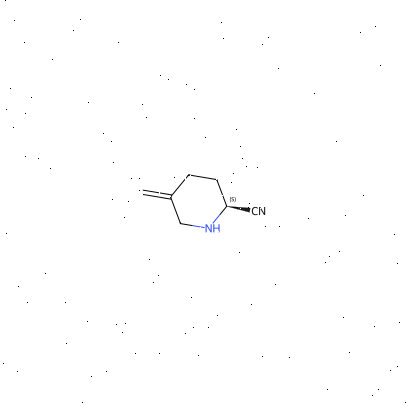 C=C1CC[C@@H](C#N)NC1